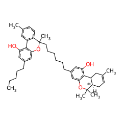 CCCCCc1cc(O)c2c(c1)OC(C)(CCCCCCc1cc(O)c3c(c1)OC(C)(C)[C@@H]1CC=C(C)CC31)c1ccc(C)cc1-2